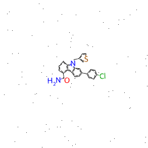 NC(=O)c1cccc2c1c1[c]cc(-c3ccc(Cl)cc3)cc1n2Cc1ccsc1